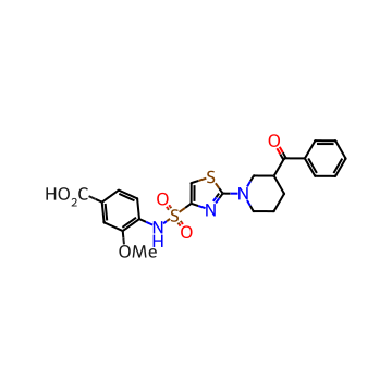 COc1cc(C(=O)O)ccc1NS(=O)(=O)c1csc(N2CCCC(C(=O)c3ccccc3)C2)n1